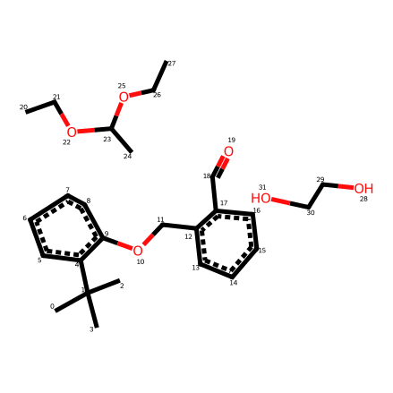 CC(C)(C)c1ccccc1OCc1ccccc1C=O.CCOC(C)OCC.OCCO